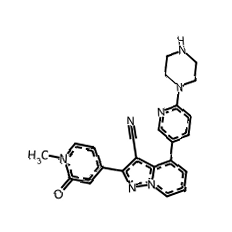 Cn1ccc(-c2nn3cccc(-c4ccc(N5CCNCC5)nc4)c3c2C#N)cc1=O